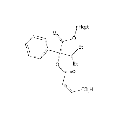 CCCCCCCOC(=O)C(OC(=O)/C=C\C(=O)O)(c1ccccc1)C(CC)CC